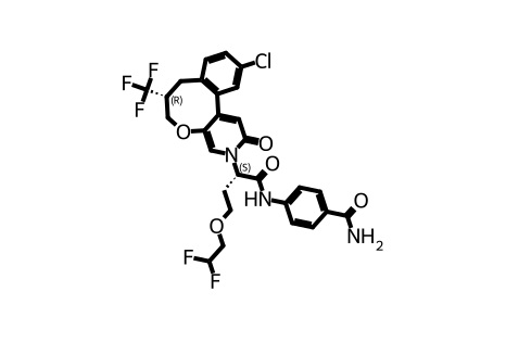 NC(=O)c1ccc(NC(=O)[C@H](CCOCC(F)F)n2cc3c(cc2=O)-c2cc(Cl)ccc2C[C@@H](C(F)(F)F)CO3)cc1